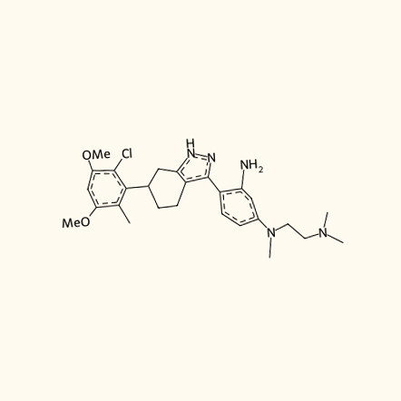 COc1cc(OC)c(Cl)c(C2CCc3c(-c4ccc(N(C)CCN(C)C)cc4N)n[nH]c3C2)c1C